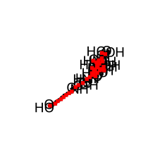 CN[C@@H](Cc1c[nH]cn1)C(=O)N[C@@H](CO)C(=O)N[C@@H](CCCCN(CC(=O)O)CC(=O)O)C(=O)N[C@@H](CO)C(=O)N[C@@H](CO)C(=O)N[C@@H](CCC(=O)O)C(=O)N[C@@H](CCCCNC(=O)COCCOCCNC(=O)CCCCCCCCCCCCCCCC(=O)O)C(N)=O